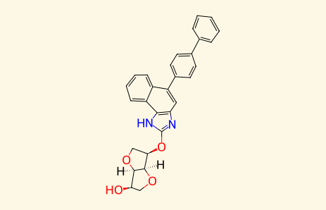 O[C@@H]1CO[C@H]2[C@@H]1OC[C@H]2Oc1nc2cc(-c3ccc(-c4ccccc4)cc3)c3ccccc3c2[nH]1